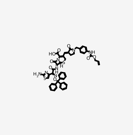 C=CCOC(=O)Nc1ccc(CN2CCC(=CC3=C(C(=O)O)N4C(=O)[C@@H](NC(=O)C(=NOC(c5ccccc5)(c5ccccc5)c5ccccc5)c5csc(N)n5)[C@H]4SC3)C2=O)cc1